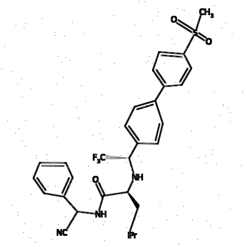 CC(C)C[C@H](N[C@@H](c1ccc(-c2ccc(S(C)(=O)=O)cc2)cc1)C(F)(F)F)C(=O)NC(C#N)c1ccccc1